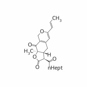 C/C=C/C1=CC2=C(CO1)C(=O)[C@]1(C)OC(=O)[C@H](C(=O)CCCCCCC)[C@H]1C2